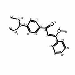 CO/C(=C\C(=O)c1ccc(B(SC)SC)cc1)c1ccccc1